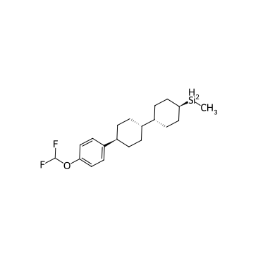 C[SiH2][C@H]1CC[C@H]([C@H]2CC[C@H](c3ccc(OC(F)F)cc3)CC2)CC1